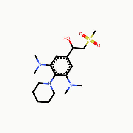 CN(C)c1cc(C(O)CS(C)(=O)=O)cc(N(C)C)c1N1CCCCC1